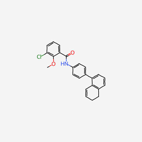 COc1c(Cl)cccc1C(=O)Nc1ccc(-c2cccc3c2C=CCC3)cc1